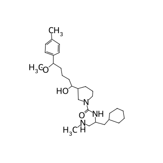 CNCC(CC1CCCCC1)NC(=O)N1CCCC(C(O)CCCC(OC)c2ccc(C)cc2)C1